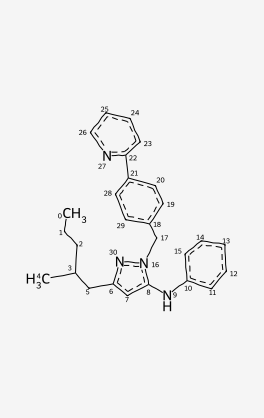 CCCC(C)Cc1cc(Nc2ccccc2)n(Cc2ccc(-c3ccccn3)cc2)n1